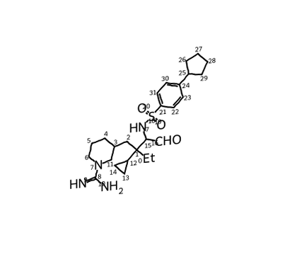 CCC(CC1CCCN(C(=N)N)C1)(C1CC1)C(C=O)NS(=O)(=O)c1ccc(C2CCCC2)cc1